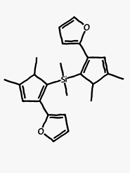 CC1=CC(c2ccco2)=C([Si](C)(C)C2=C(c3ccco3)C=C(C)C2C)C1C